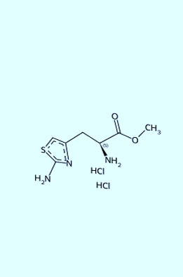 COC(=O)[C@@H](N)Cc1csc(N)n1.Cl.Cl